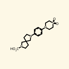 O=C(O)N1CCC2(CCN(c3ccc(N4CCS(=O)(=O)CC4)cc3)C2)C1